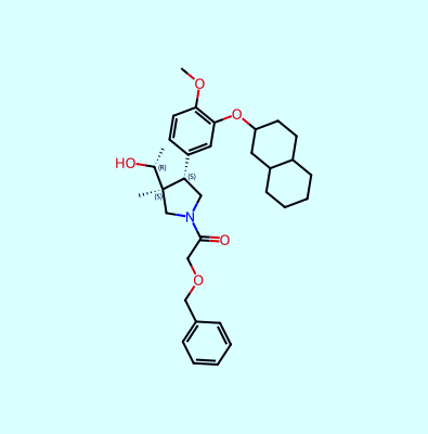 COc1ccc([C@@H]2CN(C(=O)COCc3ccccc3)C[C@@]2(C)[C@@H](C)O)cc1OC1CCC2CCCCC2C1